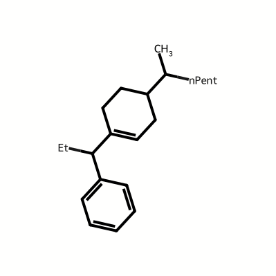 CCCCCC(C)C1CC=C(C(CC)c2ccccc2)CC1